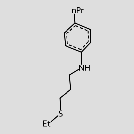 CCCc1ccc(NCCCSCC)cc1